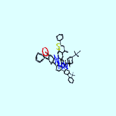 C=C1C=C(c2ccccc2)Sc2cc3c(cc21)Bc1c(-c2cc4c(cc2Nc2ccc(C(C)(C)C)cc2)C(C)(C)c2ccccc2-4)ccc2c4cc5c(cc4n-3c12)oc1ccccc15